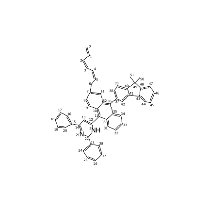 C=C/C=C\C=C/Cc1ccc2c(C3=CC(c4ccccc4)=NC(c4ccccc4)N3)c3ccccc3c(-c3ccc4c(c3)-c3ccccc3C4(C)C)c2c1